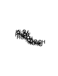 CC(C)C1=C2[C@H]3CC[C@@H]4[C@@]5(C)CC[C@H](OC(=O)CC(C)(C)C(=O)O)C6(C)C[C@]65CC[C@@]4(C)[C@]3(C)CCC2(C(O)CNC2CCCCC2)CC1=O